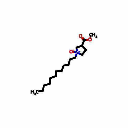 CCCCCCCCCCCC[N+]1([O-])CCC(C(=O)OC)C1